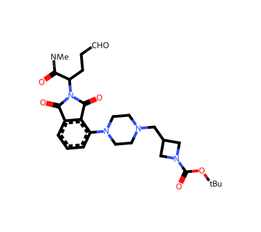 CNC(=O)C(CCC=O)N1C(=O)c2cccc(N3CCN(CC4CN(C(=O)OC(C)(C)C)C4)CC3)c2C1=O